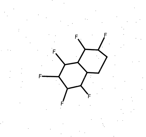 FC1CCC2C(F)C(F)C(F)C(F)C2C1F